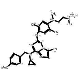 COc1ccc(CN(c2nc(Nc3cc(C#N)c(N(C)CCN(C(=O)O)C(C)(C)C)cc3Cl)nn3c(C#N)cnc23)C2CC2)cc1